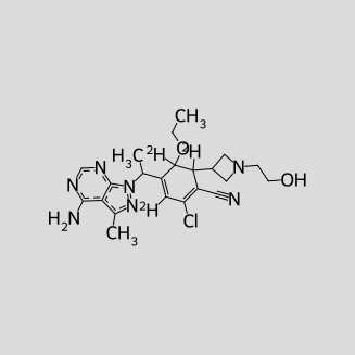 [2H]C1=C(C(C)n2nc(C)c3c(N)ncnc32)C([2H])(OCC)C([2H])(C2CN(CCO)C2)C(C#N)=C1Cl